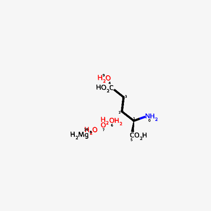 N[C@H](CCC(=O)O)C(=O)O.O.O.O.O.[MgH2]